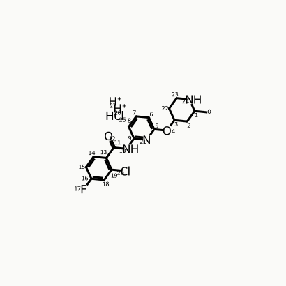 CC1CC(Oc2cccc(NC(=O)c3ccc(F)cc3Cl)n2)CCN1.Cl.[H+].[H+]